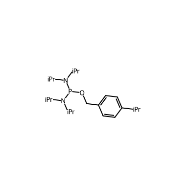 CC(C)c1ccc(COP(N(C(C)C)C(C)C)N(C(C)C)C(C)C)cc1